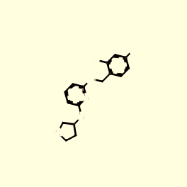 Fc1cc(Cl)ccc1COc1cccc(NC2CCNC2)n1